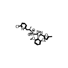 COc1cccc(OC)c1-n1c(NS(=O)(=O)[C@H](C)Cc2cccc(Cl)n2)nnc1-c1ccc(C)o1